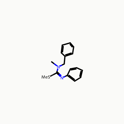 CSC(=Nc1ccccc1)N(C)Cc1ccccc1